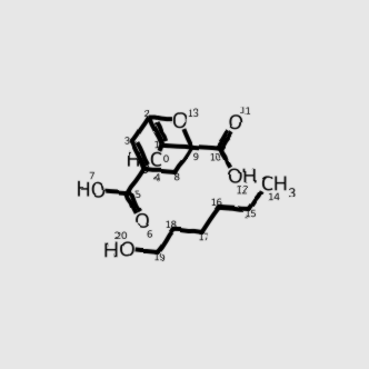 CC1=C2C=C(C(=O)O)CC1(C(=O)O)O2.CCCCCCO